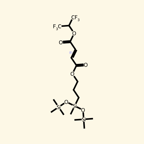 C[Si](C)(C)O[Si](C)(CCCOC(=O)/C=C/C(=O)OC(C(F)(F)F)C(F)(F)F)O[Si](C)(C)C